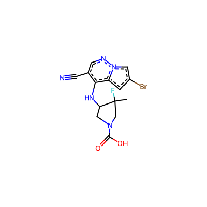 CC1(F)CN(C(=O)O)CC1Nc1c(C#N)cnn2cc(Br)cc12